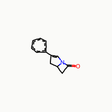 O=C1CC2CC(c3ccccc3)=CN12